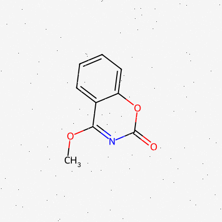 COc1nc(=O)oc2ccccc12